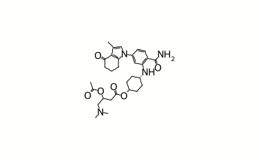 CC(=O)OC(CC(=O)O[C@H]1CC[C@H](Nc2cc(-n3cc(C)c4c3CCCC4=O)ccc2C(N)=O)CC1)CN(C)C